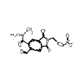 CN(C)C(=O)c1cc2c(cc1C=O)C(=O)N(CO[N+](=O)[O-])C2=O